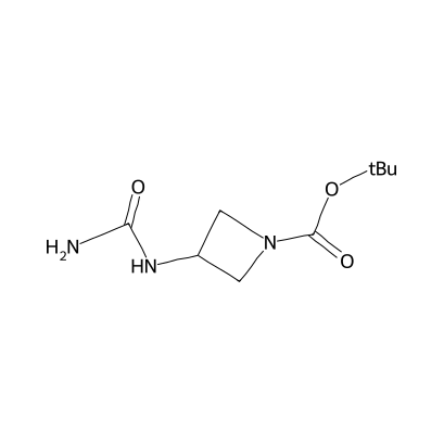 CC(C)(C)OC(=O)N1CC(NC(N)=O)C1